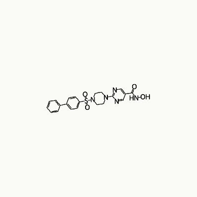 O=C(NO)c1cnc(N2CCN(S(=O)(=O)c3ccc(-c4ccccc4)cc3)CC2)nc1